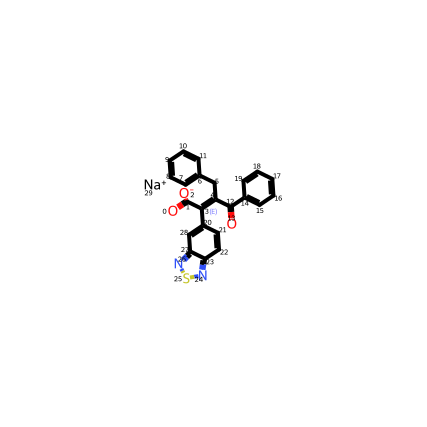 O=C([O-])/C(=C(\Cc1ccccc1)C(=O)c1ccccc1)c1ccc2nsnc2c1.[Na+]